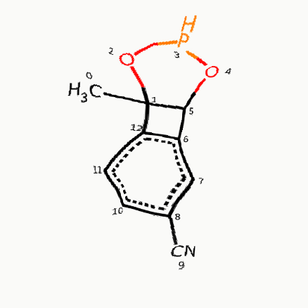 CC12OPOC1c1cc(C#N)ccc12